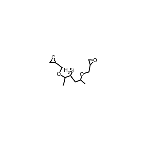 CC(CC([SiH3])C(C)OCC1CO1)OCC1CO1